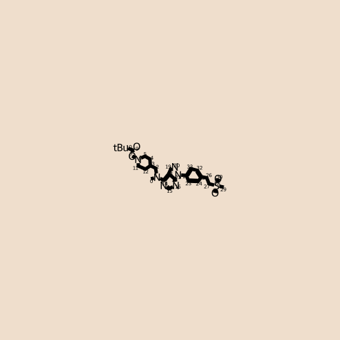 CN(CC1CCN(OC(=O)C(C)(C)C)CC1)c1ncnc2c1cnn2-c1ccc(CCS(C)(=O)=O)cc1